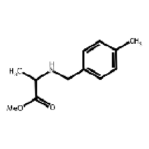 COC(=O)C(C)NCc1ccc(C)cc1